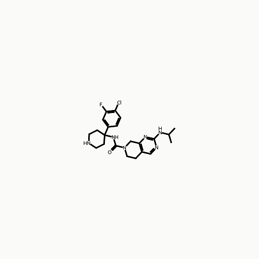 CC(C)Nc1ncc2c(n1)CN(C(=O)NC1(c3ccc(Cl)c(F)c3)CCNCC1)CC2